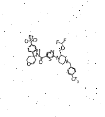 CCS(=O)(=O)c1ccc(C2(NC(=O)c3cnc(N4CCN(Cc5ccc(C(F)(F)F)cc5)CC4COC(F)F)s3)CCOCC2)cc1